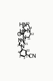 N#Cc1cccc(-n2cnc(N3CCN4CCNC[C@@H]4C3=O)c2)c1